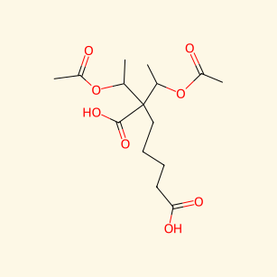 CC(=O)OC(C)C(CCCCC(=O)O)(C(=O)O)C(C)OC(C)=O